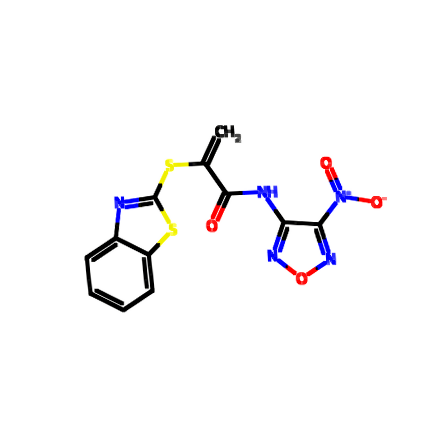 C=C(Sc1nc2ccccc2s1)C(=O)Nc1nonc1[N+](=O)[O-]